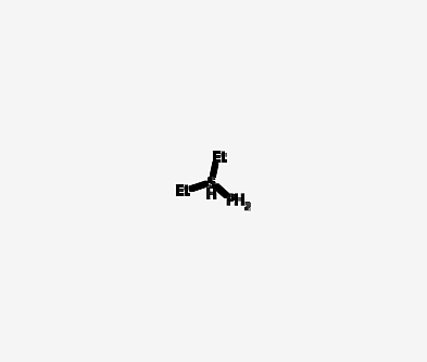 CC[SH](P)CC